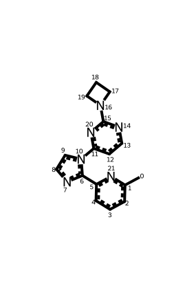 Cc1cccc(-c2nccn2-c2ccnc(N3CCC3)n2)n1